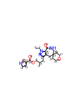 CCn1nc(CC(C)COC(=O)c2ccns2)c2c1C(=O)NCC1(CCOCC1)C2